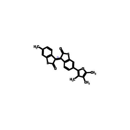 Cc1ccc2c(c1)SC(=O)/C2=C1/C(=O)Sc2cc(-c3oc(C)c(C)c3C)ccc21